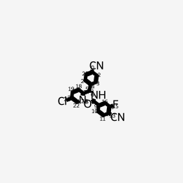 N#Cc1ccc([C@H](NC(=O)c2ccc(C#N)c(F)c2)c2ccc(Cl)cn2)cc1